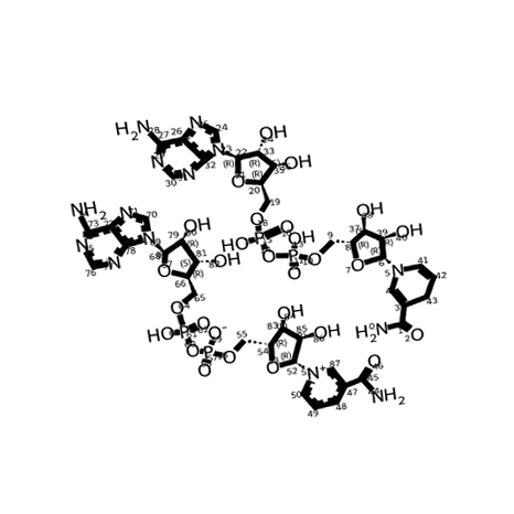 NC(=O)C1=CN([C@@H]2O[C@H](COP(=O)(O)OP(=O)(O)OC[C@H]3O[C@@H](n4cnc5c(N)ncnc54)[C@H](O)[C@@H]3O)[C@@H](O)[C@H]2O)C=CC1.NC(=O)c1ccc[n+]([C@@H]2O[C@H](COP(=O)([O-])OP(=O)(O)OC[C@H]3O[C@@H](n4cnc5c(N)ncnc54)[C@H](O)[C@@H]3O)[C@@H](O)[C@H]2O)c1